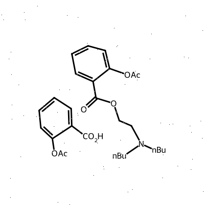 CC(=O)Oc1ccccc1C(=O)O.CCCCN(CCCC)CCOC(=O)c1ccccc1OC(C)=O